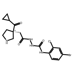 O=C(C[C@@]1(C(=O)C2CC2)CCNC1)NNC(=O)Nc1ccc(Br)cc1Cl